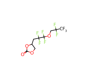 O=C1OCC(CC(F)(F)C(F)(F)OCC(F)(F)C(F)(F)F)O1